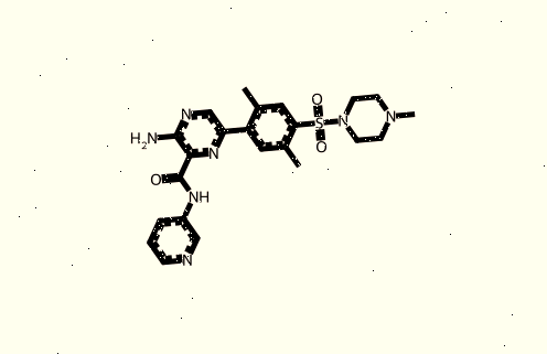 Cc1cc(S(=O)(=O)N2CCN(C)CC2)c(C)cc1-c1cnc(N)c(C(=O)Nc2cccnc2)n1